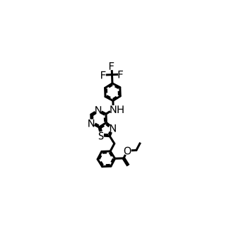 C=C(OCC)c1ccccc1Cc1nc2c(Nc3ccc(C(F)(F)F)cc3)ncnc2s1